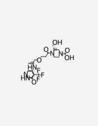 C[C@@H](COCCC(=O)N1CCN(C(=O)O)C[C@H]1CO)Nc1cn[nH]c(=O)c1C(F)(F)F